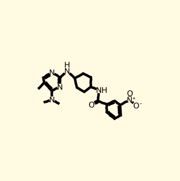 Cc1cnc(NC2CCC(NC(=O)c3cccc([N+](=O)[O-])c3)CC2)nc1N(C)C